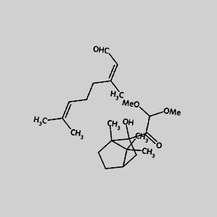 CC(C)=CCCC(C)=CC=O.COC(OC)C(=O)C1(O)CC2CCC1(C)C2(C)C